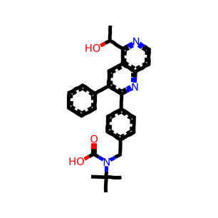 CC(O)c1nccc2nc(-c3ccc(CN(C(=O)O)C(C)(C)C)cc3)c(-c3ccccc3)cc12